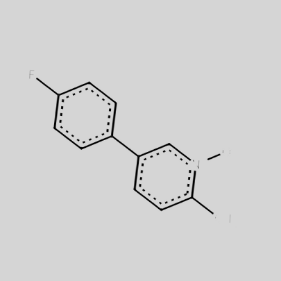 Cc1ccc(-c2ccc(F)cc2)c[n+]1[O-]